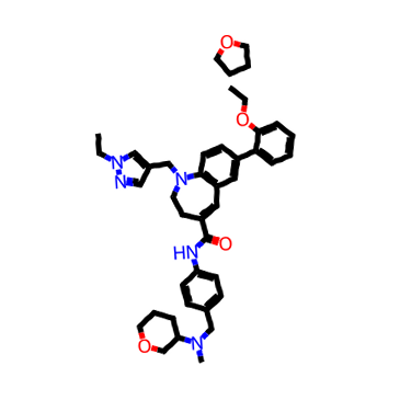 C1CCOC1.CCOc1ccccc1-c1ccc2c(c1)C=C(C(=O)Nc1ccc(CN(C)C3CCCOC3)cc1)CCN2Cc1cnn(CC)c1